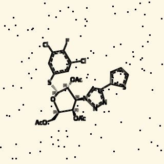 CC(=O)OC[C@H]1O[C@H](Sc2cc(Cl)c(F)c(Cl)c2)[C@H](OC(C)=O)[C@@H](n2cc(-c3cccs3)nn2)[C@H]1OC(C)=O